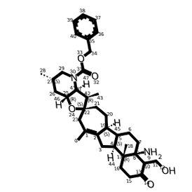 CC1=C2C[C@H]3C(CC[C@]4(N)C(CO)C(=O)CC[C@]34C)[C@@H]2CC[C@@]2(C1)O[C@@H]1C[C@H](C)CN(C(=O)OCc3ccccc3)[C@H]1[C@H]2C